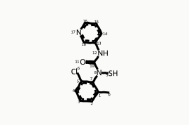 Cc1cccc(Cl)c1N(S)C(=O)Nc1cccnc1